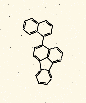 c1ccc2c(c1)-c1cccc3c(-c4cccc5ccccc45)ccc-2c13